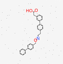 O=C(O)Cc1cccc(-c2ccc(CC=NOCc3ccc(-c4ccccc4)cc3)cc2)c1